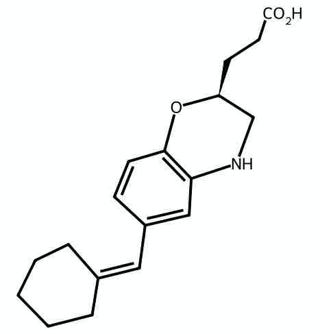 O=C(O)CC[C@H]1CNc2cc(C=C3CCCCC3)ccc2O1